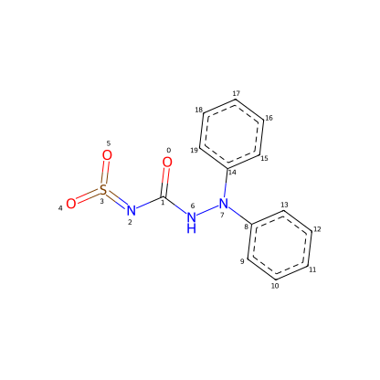 O=C(N=S(=O)=O)NN(c1ccccc1)c1ccccc1